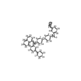 CN(c1ccc(-c2ccc(N(c3cccc(-c4ccccc4)c3)c3cccc4ccccc34)cc2)cc1)c1cccc(N=O)c1